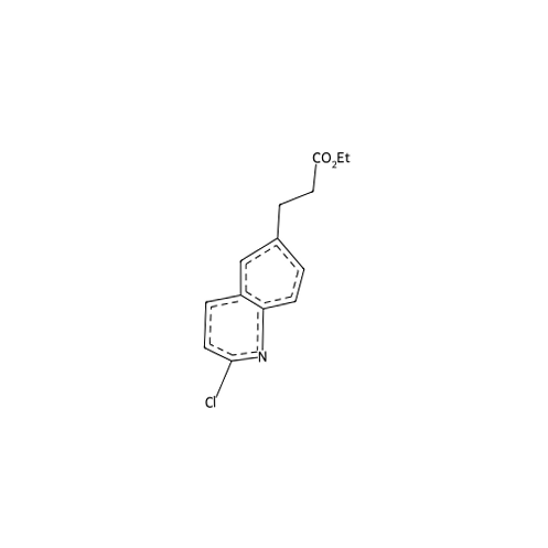 CCOC(=O)CCc1ccc2nc(Cl)ccc2c1